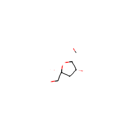 OC[C@H]1O[C@](O)(CO)C[C@@H]1O